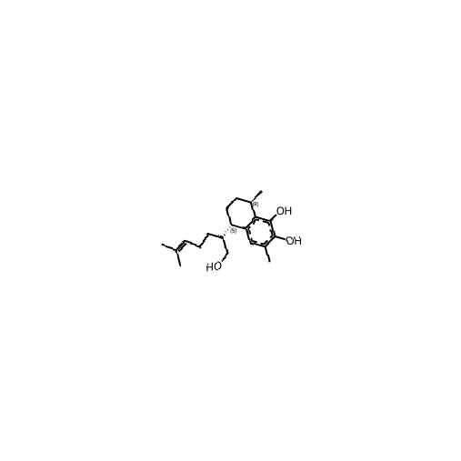 CC(C)=CCCC(CO)[C@@H]1CC[C@@H](C)c2c1cc(C)c(O)c2O